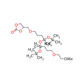 COCCOCCC[Si](C)(O[Si](C)(C)C)O[Si](C)(CCCOCC1COC(=O)O1)O[Si](C)(C)C